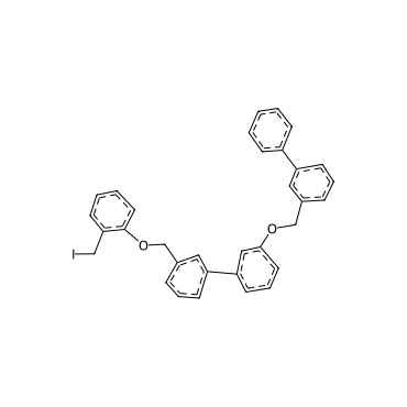 ICc1ccccc1OCc1cccc(-c2cccc(OCc3cccc(-c4ccccc4)c3)c2)c1